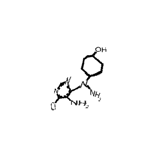 Nc1c(Cl)ncnc1N(N)C1CCC(O)CC1